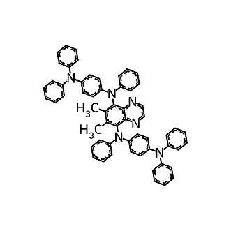 Cc1c(C)c(N(c2ccccc2)c2ccc(N(c3ccccc3)c3ccccc3)cc2)c2nccnc2c1N(c1ccccc1)c1ccc(N(c2ccccc2)c2ccccc2)cc1